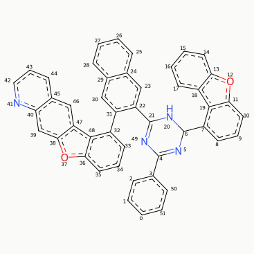 c1ccc(C2=NC(c3cccc4oc5ccccc5c34)NC(c3cc4ccccc4cc3-c3cccc4oc5cc6ncccc6cc5c34)=N2)cc1